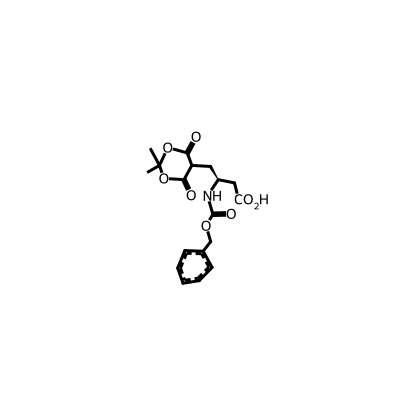 CC1(C)OC(=O)C(C[C@@H](CC(=O)O)NC(=O)OCc2ccccc2)C(=O)O1